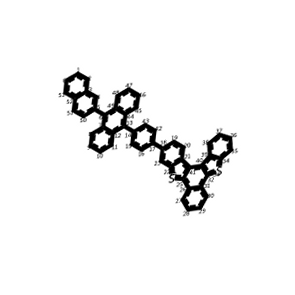 c1ccc2cc(-c3c4ccccc4c(-c4ccc(-c5ccc6c(c5)sc5c7ccccc7c7sc8ccccc8c7c65)cc4)c4ccccc34)ccc2c1